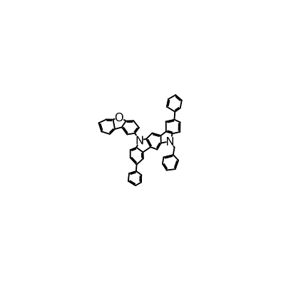 c1ccc(Cn2c3ccc(-c4ccccc4)cc3c3cc4c(cc32)c2cc(-c3ccccc3)ccc2n4-c2ccc3oc4ccccc4c3c2)cc1